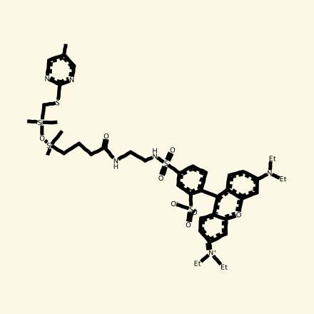 CCN(CC)c1ccc2c(-c3ccc(S(=O)(=O)NCCNC(=O)CCC[Si](C)(C)O[Si](C)(C)CSc4ncc(C)cn4)cc3S(=O)(=O)[O-])c3ccc(=[N+](CC)CC)cc-3oc2c1